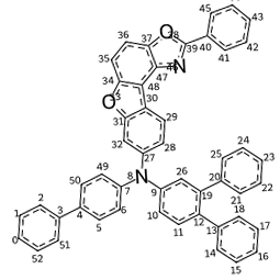 c1ccc(-c2ccc(N(c3ccc(-c4ccccc4)c(-c4ccccc4)c3)c3ccc4c(c3)oc3ccc5oc(-c6ccccc6)nc5c34)cc2)cc1